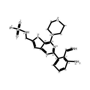 CC(C)S(=O)(=O)NCc1cc2nc(-c3cccc(N)c3C=N)nc(N3CCOCC3)c2s1